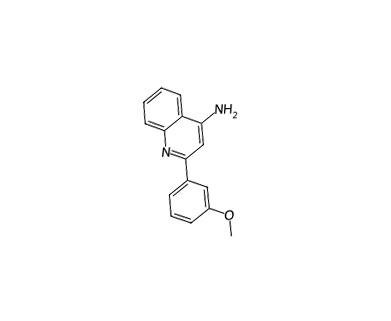 COc1cccc(-c2cc(N)c3ccccc3n2)c1